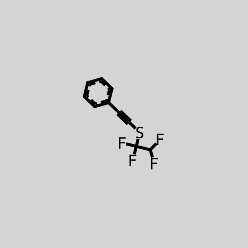 FC(F)C(F)(F)SC#Cc1ccccc1